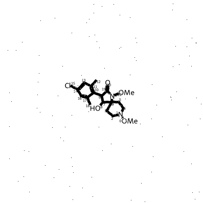 CON1CCC2(CC1)C(O)C(c1c(C)cc(Cl)cc1C)C(=O)N2OC